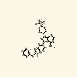 CS(=O)(=O)N1CCC(n2nc(-c3ccc4[nH]c(Cc5ccccc5)nc4c3)c3c(N)ncnc32)CC1